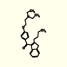 CCCCC1=C(C(=O)c2ccc(OCCN(CC)CC)cc2)c2ccccc2C1